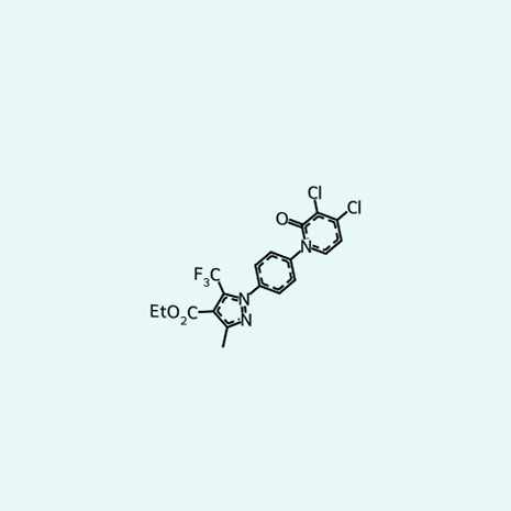 CCOC(=O)c1c(C)nn(-c2ccc(-n3ccc(Cl)c(Cl)c3=O)cc2)c1C(F)(F)F